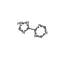 c1ncnc(-c2nc[nH]n2)n1